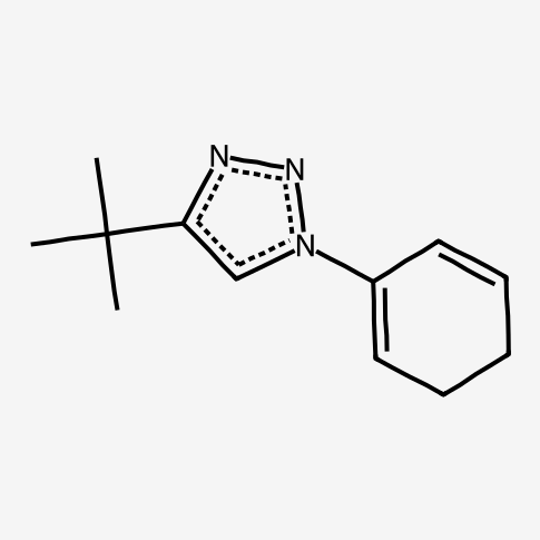 CC(C)(C)c1cn(C2=CCCC=C2)nn1